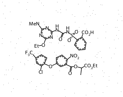 CCOC(=O)C(C)OC(=O)c1cc(Oc2ccc(C(F)(F)F)cc2Cl)ccc1[N+](=O)[O-].CCOc1nc(NC)nc(NC(=O)NS(=O)(=O)c2ccccc2C(=O)O)n1